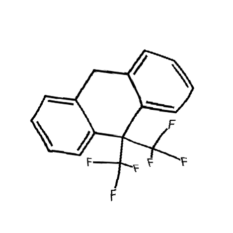 FC(F)(F)C1(C(F)(F)F)c2ccccc2Cc2ccccc21